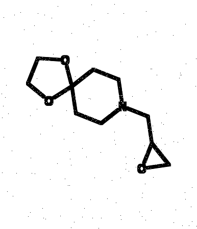 C1COC2(CCN(CC3CO3)CC2)O1